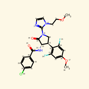 COCCn1ccnc1N1C[C@@H](c2c(F)cc(OC)cc2F)[C@H](NC(=O)c2ccc(Cl)cc2)C1=O